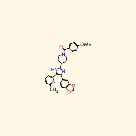 COc1ccc(C(=O)N2CCC(c3nc(-c4ccc5c(c4)OCO5)c(-c4cccc(C)n4)[nH]3)CC2)cc1